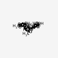 CC(=O)N1CC[C@H]2CC[C@@H](C(=O)N(C)C3CCN(S(C)(=O)=O)CC3)N2C(=O)[C@@H](NC(=O)c2cc3cc(C(F)(F)P(O)O)ccc3s2)C1